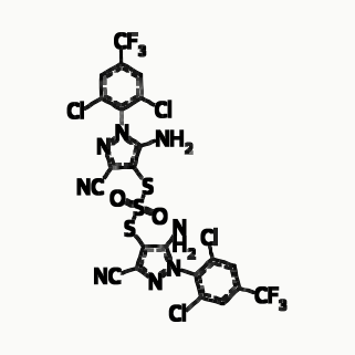 N#Cc1nn(-c2c(Cl)cc(C(F)(F)F)cc2Cl)c(N)c1SS(=O)(=O)Sc1c(C#N)nn(-c2c(Cl)cc(C(F)(F)F)cc2Cl)c1N